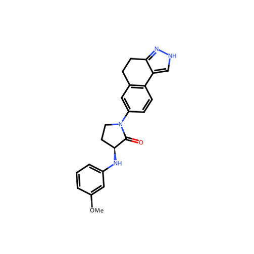 COc1cccc(N[C@H]2CCN(c3ccc4c(c3)CCc3n[nH]cc3-4)C2=O)c1